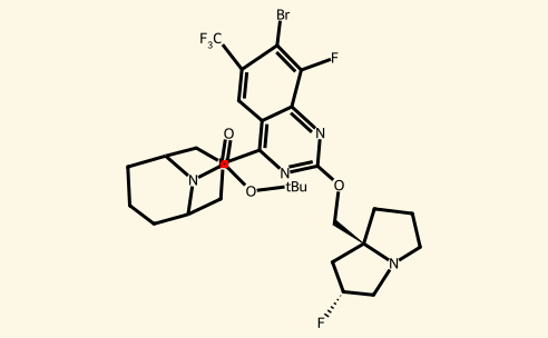 CC(C)(C)OC(=O)N1C2CCCC1CN(c1nc(OC[C@@]34CCCN3C[C@H](F)C4)nc3c(F)c(Br)c(C(F)(F)F)cc13)C2